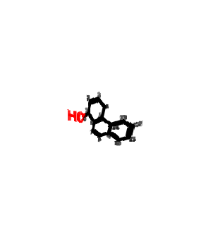 OC1C=CCc2c1ccc1ccccc21